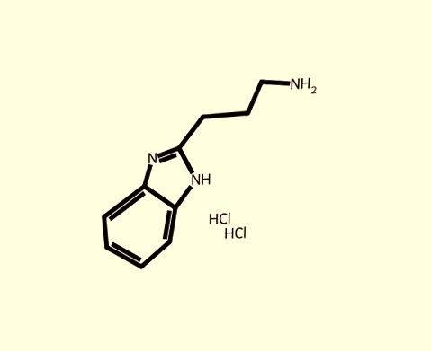 Cl.Cl.NCCCc1nc2ccccc2[nH]1